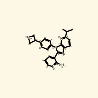 CC(C)c1ccc2nc(-c3cccnc3N)n(-c3ccc(C4CNC4)cc3)c2n1